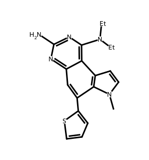 CCN(CC)c1nc(N)nc2cc(-c3cccs3)c3c(ccn3C)c12